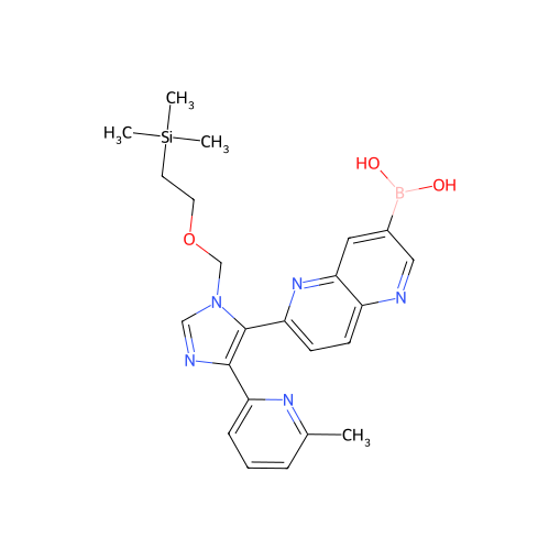 Cc1cccc(-c2ncn(COCC[Si](C)(C)C)c2-c2ccc3ncc(B(O)O)cc3n2)n1